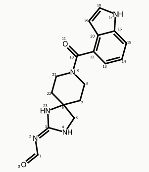 O=C/N=C1\NCC2(CCN(C(=O)c3cccc4[nH]ccc34)CC2)N1